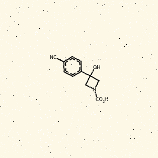 N#Cc1ccc(C2(O)CN(C(=O)O)C2)cc1